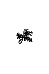 CN(c1cc(C=O)ccc1Nc1cc(Nc2ccn(C)n2)nc2c1nc(C(F)F)n2C1CCCCO1)S(C)(=O)=O